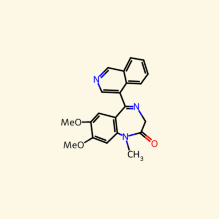 COc1cc2c(cc1OC)N(C)C(=O)CN=C2c1cncc2ccccc12